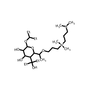 CCC(CC)OC1OC(C(C)OCCC[N+](C)(C)CCCN(C)C)C(C(O)(CC)CC)C(O)C1O